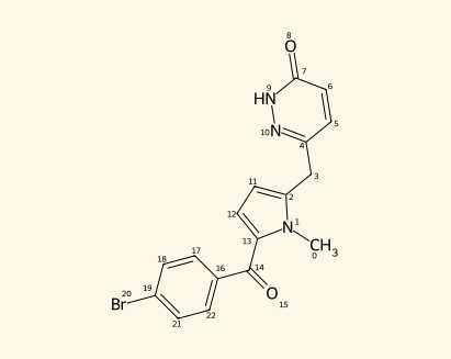 Cn1c(Cc2ccc(=O)[nH]n2)ccc1C(=O)c1ccc(Br)cc1